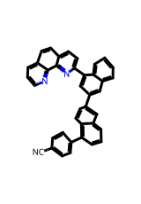 N#Cc1ccc(-c2cccc3cc(-c4cc(-c5ccc6ccc7cccnc7c6n5)c5ccccc5c4)ccc23)cc1